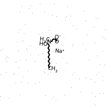 CCCCCCCCCCCC(O)N(C)CCC(=O)[O-].[Na+]